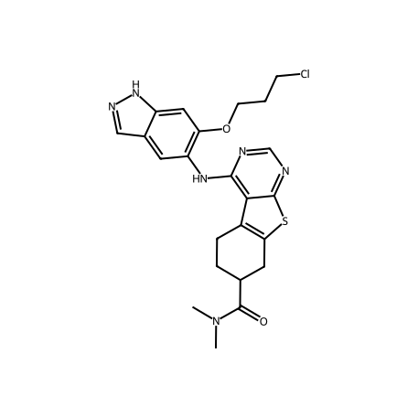 CN(C)C(=O)C1CCc2c(sc3ncnc(Nc4cc5cn[nH]c5cc4OCCCCl)c23)C1